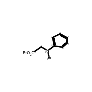 CCOC(=O)CN(Br)c1ccccc1